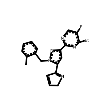 CCc1nc(-c2cc(C3=NCC=C3)n(Cc3ccccc3C)n2)ncc1F